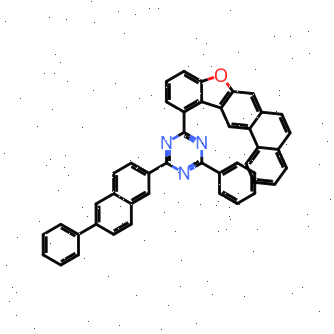 c1ccc(-c2ccc3cc(-c4nc(-c5ccccc5)nc(-c5cccc6oc7cc8ccc9ccccc9c8cc7c56)n4)ccc3c2)cc1